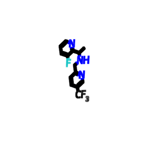 CC(NCc1ccc(C(F)(F)F)cn1)c1ncccc1F